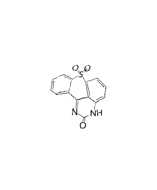 O=c1nc2c3c(cccc3[nH]1)S(=O)(=O)c1ccccc1-2